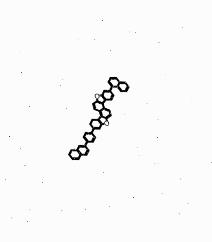 C1=Cc2ccc(-c3ccc(C4=Cc5oc6ccc7c(ccc8oc9cc(-c%10cccc%11ccccc%10%11)ccc9c87)c6c5CC4)cc3)cc2CC1